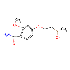 COc1cc(OCC[S+](C)[O-])ccc1C(N)=O